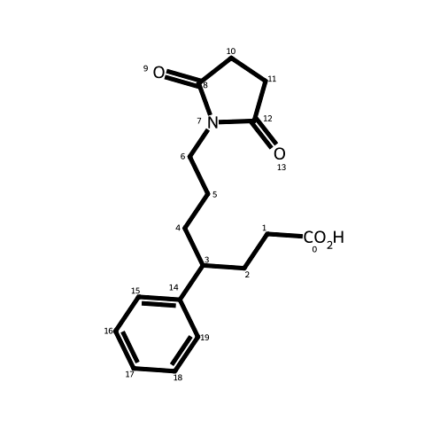 O=C(O)CCC(CCCN1C(=O)CCC1=O)c1ccccc1